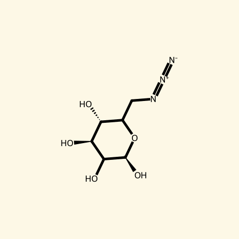 [N-]=[N+]=NCC1O[C@@H](O)C(O)[C@@H](O)[C@@H]1O